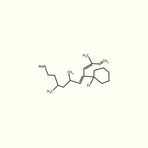 C=N/C(C)=C\C(=C/C(C)CC(C)CCNC)C1(CC)CCCCC1